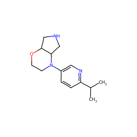 CC(C)c1ccc(N2CCOC3CNCC32)cn1